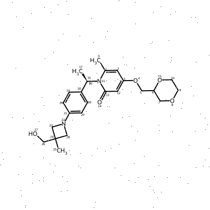 Cc1cc(OCC2COCCO2)cc(=O)n1[C@H](C)c1ccc(N2CC(C)(CO)C2)cc1